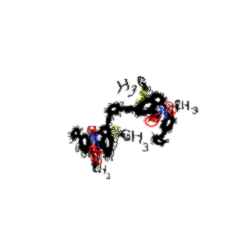 CCOc1ccc(C2=CCC=C2)cc1N1C(=O)c2cccc3c(SCC)c(C#Cc4cccc(C#Cc5cc6c7c(cccc7c5SCC)C(=O)N(c5cc(C7C=CC=C7)ccc5OCC)C6=O)c4)cc(c23)C1=O